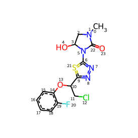 CN1CC(O)N(c2nnc(C(CCl)Oc3ccccc3F)s2)C1=O